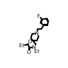 CCC1OC2(CCN(CCc3cccc(F)c3)CC2)CN(CC)C1=O